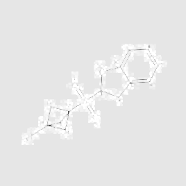 O=S(=O)(C1Cc2ccccc2O1)C12CC(I)(C1)C2